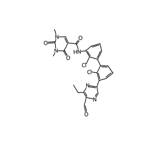 CCc1nc(-c2cccc(-c3cccc(NC(=O)c4cn(C)c(=O)n(C)c4=O)c3Cl)c2Cl)cnc1C=O